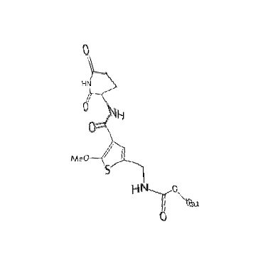 COc1sc(CNC(=O)OC(C)(C)C)cc1C(=O)NC1CCC(=O)NC1=O